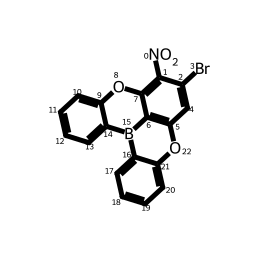 O=[N+]([O-])c1c(Br)cc2c3c1Oc1ccccc1B3c1ccccc1O2